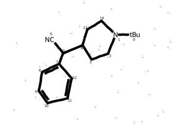 CC(C)(C)N1CCC(C(C#N)c2ccccc2)CC1